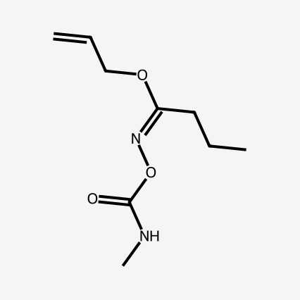 C=CCOC(CCC)=NOC(=O)NC